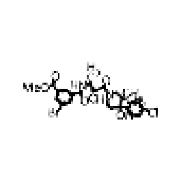 COC(=O)c1cc(Br)cc(C(=O)NC(C)[C@@H](C)C(=O)N2CC[C@](O)(c3ccc(Cl)cc3)C(C)(C)C2)c1